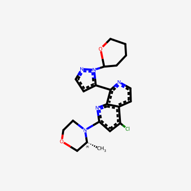 C[C@@H]1COCCN1c1cc(Cl)c2ccnc(-c3ccnn3C3CCCCO3)c2n1